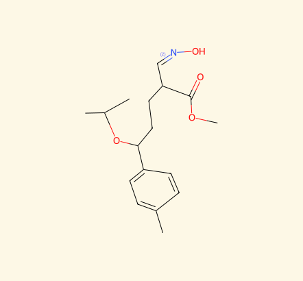 COC(=O)C(/C=N\O)CCC(OC(C)C)c1ccc(C)cc1